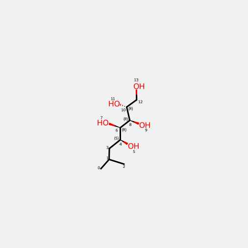 CC(C)C[C@H](O)[C@@H](O)[C@H](O)[C@H](O)CO